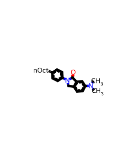 CCCCCCCCc1ccc(N2Cc3ccc(N(C)C)cc3C2=O)cc1